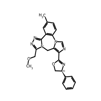 COCc1nnc2n1Cc1c(C3=N[C@@H](c4ccccc4)CO3)ncn1-c1ccc(C)cc1-2